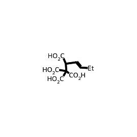 CCC=CC(C(=O)O)C(C(=O)O)(C(=O)O)C(=O)O